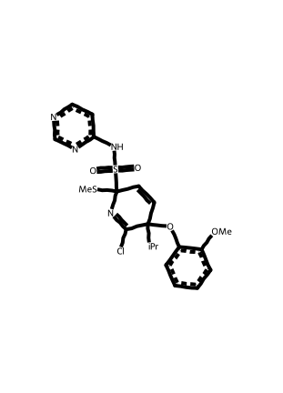 COc1ccccc1OC1(C(C)C)C=CC(SC)(S(=O)(=O)Nc2ccncn2)N=C1Cl